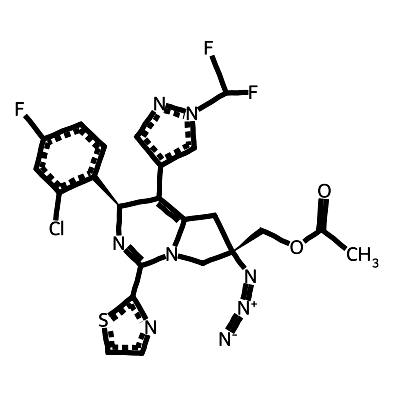 CC(=O)OC[C@]1(N=[N+]=[N-])CC2=C(c3cnn(C(F)F)c3)[C@H](c3ccc(F)cc3Cl)N=C(c3nccs3)N2C1